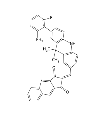 CC1(C)c2cc(C=C3C(=O)c4cc5ccccc5cc4C3=O)ccc2Nc2ccc(-c3c(F)cccc3P)cc21